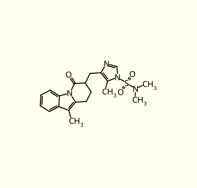 Cc1c2n(c3ccccc13)C(=O)C(Cc1ncn(S(=O)(=O)N(C)C)c1C)CC2